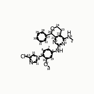 CNc1nc(Nc2ccc(-n3cnc(Cl)c3)c(OC)c2)nc2c1CCOC2c1ccccc1